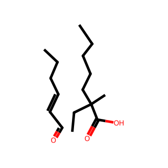 CCCC=CC=O.CCCCCC(C)(CC)C(=O)O